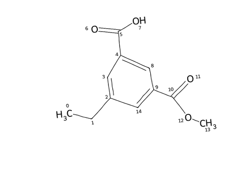 CCc1cc(C(=O)O)cc(C(=O)OC)c1